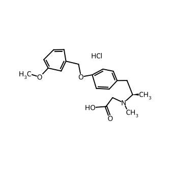 COc1cccc(COc2ccc(C[C@@H](C)N(C)CC(=O)O)cc2)c1.Cl